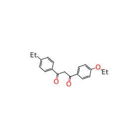 CCOc1ccc(C(=O)CC(=O)c2ccc(CC)cc2)cc1